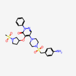 CS(=O)(=O)N1CCC(Oc2c(N3CCN(S(=O)(=O)Cc4ccc(N)cc4)CC3)cnn(-c3ccccc3)c2=O)C1